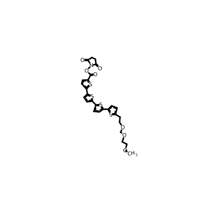 COCCOCOCCc1ccc(-c2ccc(-c3ccc(-c4ccc(C(=O)ON5C(=O)CCC5=O)s4)s3)s2)s1